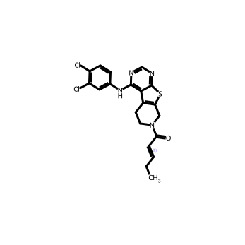 CC/C=C/C(=O)N1CCc2c(sc3ncnc(Nc4ccc(Cl)c(Cl)c4)c23)C1